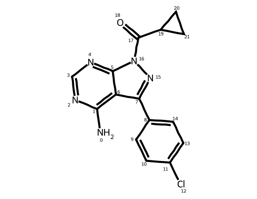 Nc1ncnc2c1c(-c1ccc(Cl)cc1)nn2C(=O)C1CC1